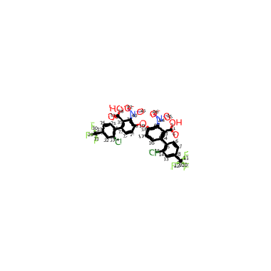 O=C(O)c1c(-c2ccc(C(F)(F)F)cc2Cl)ccc(Oc2ccc(-c3ccc(C(F)(F)F)cc3Cl)c(C(=O)O)c2[N+](=O)[O-])c1[N+](=O)[O-]